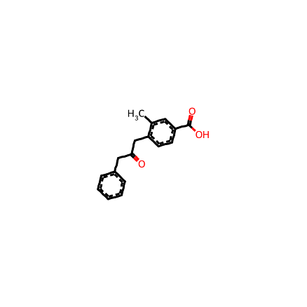 Cc1cc(C(=O)O)ccc1CC(=O)Cc1ccccc1